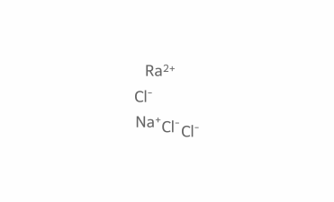 [Cl-].[Cl-].[Cl-].[Na+].[Ra+2]